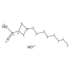 CCCCCCCCC1CC(C(=O)O)C1.Cl